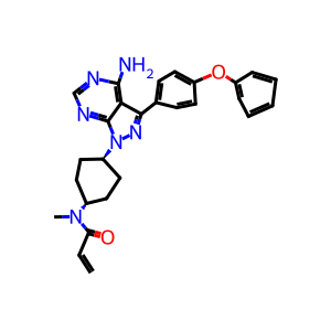 C=CC(=O)N(C)[C@H]1CC[C@@H](n2nc(-c3ccc(Oc4ccccc4)cc3)c3c(N)ncnc32)CC1